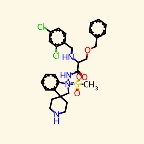 CS(=O)(=O)[N+]1(NC(=O)C(COCc2ccccc2)NCc2ccc(Cl)cc2Cl)CC2(CCNCC2)c2ccccc21